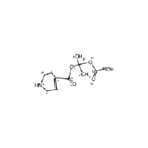 CC(C)(OC(=O)C1=CCNCC1)OC(=O)C(C)(C)C